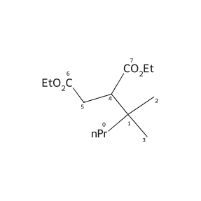 CCCC(C)(C)C(CC(=O)OCC)C(=O)OCC